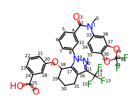 CN(C(=O)c1cccc(-n2nc(C(F)(F)F)c3c2C(Oc2cccc(C(=O)O)c2)CCC3)c1)c1ccc2c(c1)OC(F)(F)O2